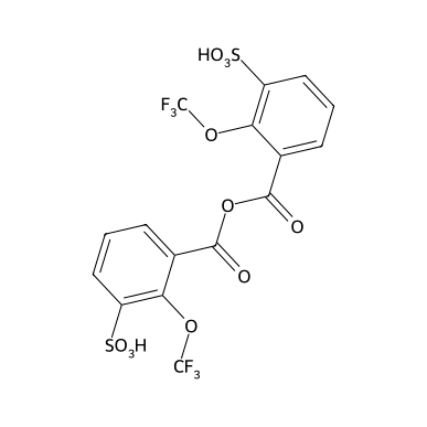 O=C(OC(=O)c1cccc(S(=O)(=O)O)c1OC(F)(F)F)c1cccc(S(=O)(=O)O)c1OC(F)(F)F